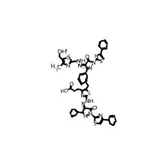 Cc1nc(N/N=C2\C(=O)N(c3nc(-c4ccccc4)cs3)N=C2c2cccc(Cc3sc(N/N=C4\C(=O)N(c5nc(-c6ccccc6)cs5)N=C4c4ccccc4)nc3CCC(=O)O)c2)sc1CO